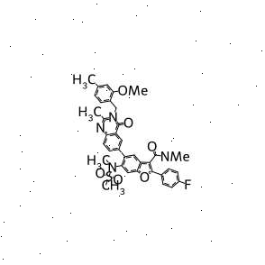 CNC(=O)c1c(-c2ccc(F)cc2)oc2cc(N(C)S(C)(=O)=O)c(-c3ccc4nc(C)n(Cc5ccc(C)cc5OC)c(=O)c4c3)cc12